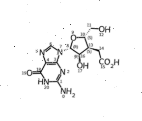 Nc1nc2c(ncn2[C@@H]2O[C@H](CO)[C@@H](CC(=O)O)[C@H]2O)c(=O)[nH]1